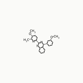 COc1cccc(-c2nc(-c3ccc(OC)c(C)n3)nc3ccccc23)c1